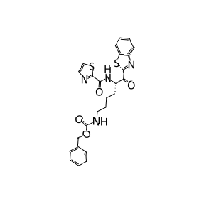 O=C(NCCCC[C@H](NC(=O)c1nccs1)C(=O)c1nc2ccccc2s1)OCc1ccccc1